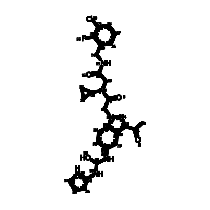 CC(=O)c1nn(CC(=O)N(CC(=O)NCc2cccc(Cl)c2F)C2CC2)c2ccc(NC(O)Nc3ccc[nH]3)cc12